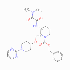 CN(C)C(=O)C(=O)N[C@@H]1CCCN(C(=O)OCc2ccccc2)[C@@H]1COC1CCN(c2ncccn2)CC1